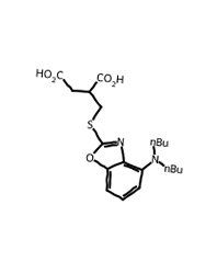 CCCCN(CCCC)c1cccc2oc(SCC(CC(=O)O)C(=O)O)nc12